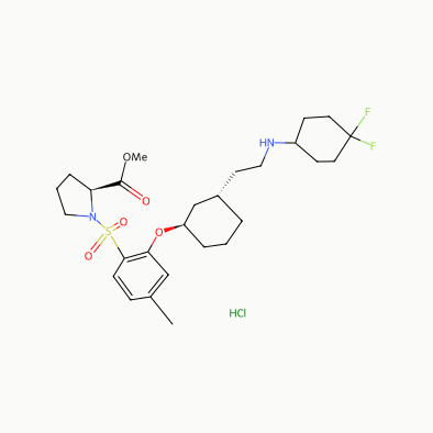 COC(=O)[C@@H]1CCCN1S(=O)(=O)c1ccc(C)cc1O[C@@H]1CCC[C@@H](CCNC2CCC(F)(F)CC2)C1.Cl